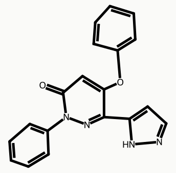 O=c1cc(Oc2ccccc2)c(-c2ccn[nH]2)nn1-c1ccccc1